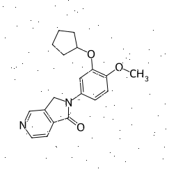 COc1ccc(N2Cc3cnccc3C2=O)cc1OC1CCCC1